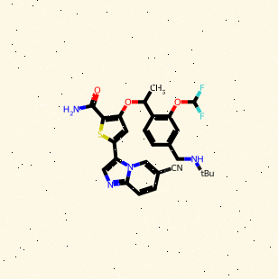 CC(Oc1cc(-c2cnc3ccc(C#N)cn23)sc1C(N)=O)c1ccc(CNC(C)(C)C)cc1OC(F)F